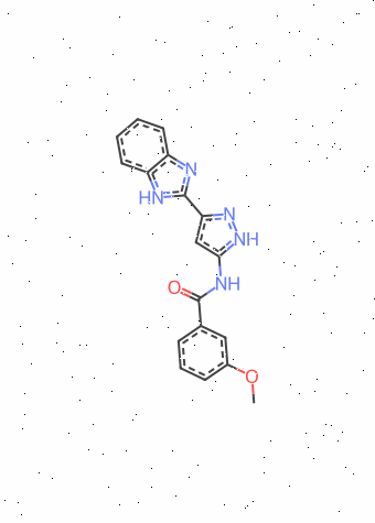 COc1cccc(C(=O)Nc2cc(-c3nc4ccccc4[nH]3)n[nH]2)c1